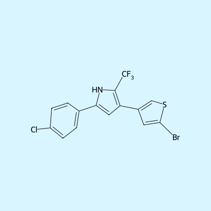 FC(F)(F)c1[nH]c(-c2ccc(Cl)cc2)cc1-c1csc(Br)c1